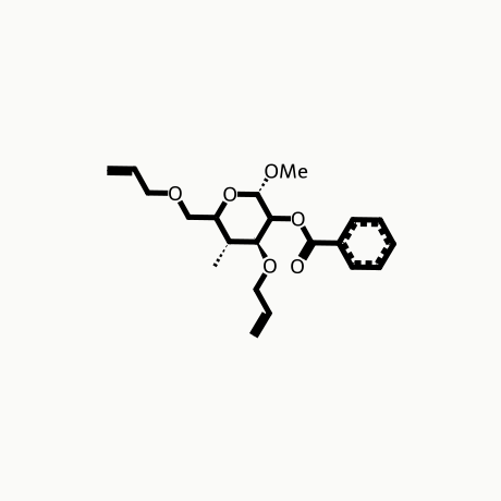 C=CCOCC1O[C@H](OC)C(OC(=O)c2ccccc2)[C@@H](OCC=C)[C@@H]1C